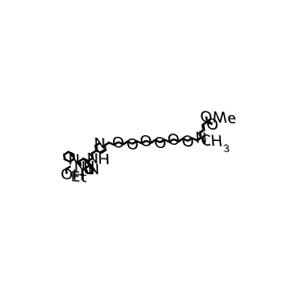 CCc1cnn2c(NCc3ccc(CCOCCOCCOCCOCCOCCOCCN(C)C/C=C/C(=O)OC)nc3)cc(N3CCCC[C@H]3CCO)nc12